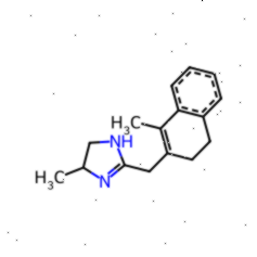 CC1=C(CC2=NC(C)CN2)CCc2ccccc21